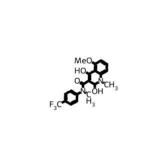 COc1cccc2c1C(O)=C(C(=O)N(C)c1ccc(C(F)(F)F)cc1)C(O)N2C